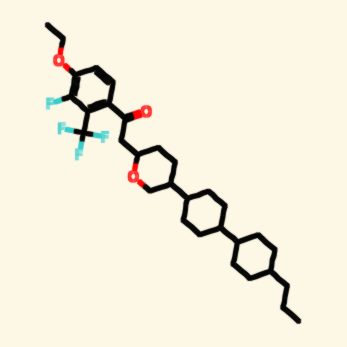 CCCC1CCC(C2CCC(C3CCC(CC(=O)c4ccc(OCC)c(F)c4C(F)(F)F)OC3)CC2)CC1